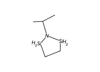 CC(C)N1[SiH2]CC[SiH2]1